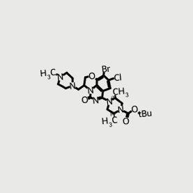 C[C@@H]1CN(c2nc(=O)n3c4c(c(Br)c(Cl)cc24)OCC3CN2CCN(C)CC2)[C@@H](C)CN1C(=O)OC(C)(C)C